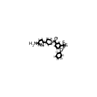 Nc1ccc(C2CCN(C(=O)c3ccc(Oc4ccccc4)c(C(F)(F)F)c3)CC2)nn1